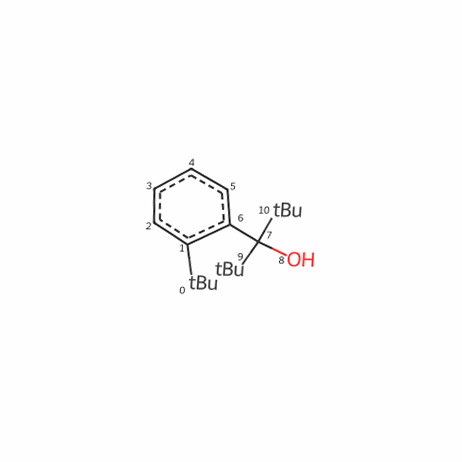 CC(C)(C)c1ccccc1C(O)(C(C)(C)C)C(C)(C)C